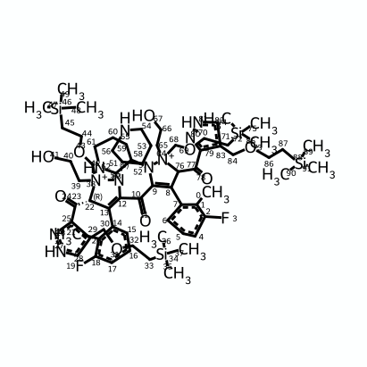 Cc1c(F)cccc1C1=C(C(=O)C2=C(c3cccc(F)c3C)[C@H](C(=O)c3n[nH]cc3COCC[Si](C)(C)C)[N+](CCO)(COCC[Si](C)(C)C)N2[C@H]2CCCNC2)N(C2CCCNC2)[N+](CCO)(COCC[Si](C)(C)C)C1C(=O)c1n[nH]cc1COCC[Si](C)(C)C